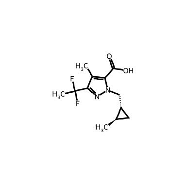 Cc1c(C(C)(F)F)nn(C[C@@H]2C[C@H]2C)c1C(=O)O